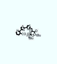 CCOC(=O)c1cccnc1-c1csc(-c2csc(C[C@H](NC(=O)OC(C)(C)C)C(=O)OC(C)(C)C)n2)n1